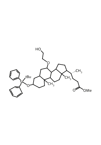 COC(=O)CC[C@@H](C)C1CCC2C3C(OCCO)CC4CC(O[Si](c5ccccc5)(c5ccccc5)C(C)(C)C)CCC4(C)C3CCC21C